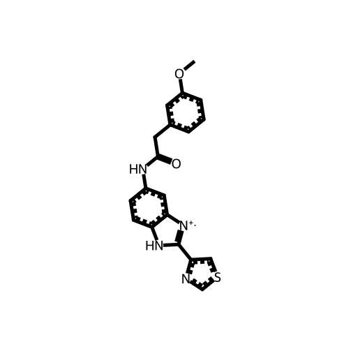 COc1cccc(CC(=O)Nc2ccc3c(c2)[N+]=C(c2cscn2)N3)c1